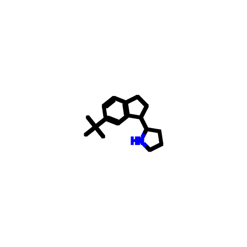 CC(C)(C)c1ccc2c(c1)C(C1CCCN1)CC2